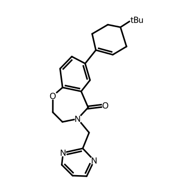 CC(C)(C)C1CC=C(c2ccc3c(c2)C(=O)N(Cc2ncccn2)CCO3)CC1